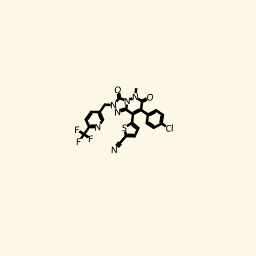 Cn1c(=O)c(-c2ccc(Cl)cc2)c(-c2ccc(C#N)s2)c2nn(Cc3ccc(C(F)(F)F)nc3)c(=O)n21